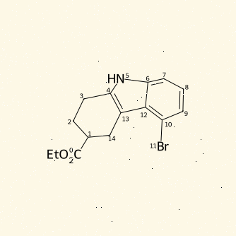 CCOC(=O)C1CCc2[nH]c3cccc(Br)c3c2C1